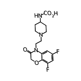 O=C(O)NC1CCN(CCN2C(=O)COc3c(F)cc(F)cc32)CC1